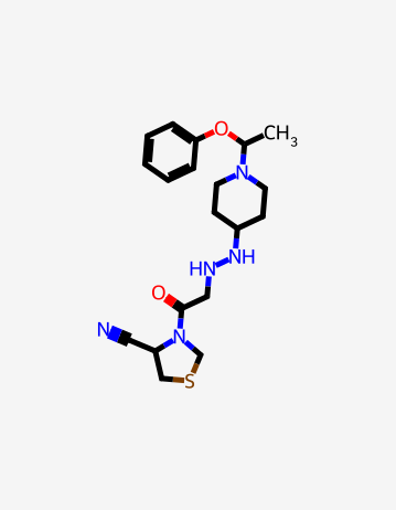 CC(Oc1ccccc1)N1CCC(NNCC(=O)N2CSCC2C#N)CC1